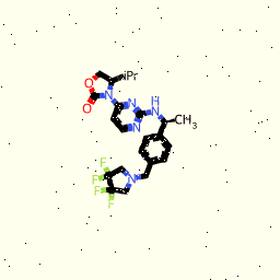 CC(C)C1COC(=O)N1c1ccnc(N[C@@H](C)c2ccc(CN3CC(F)(F)C(F)(F)C3)cc2)n1